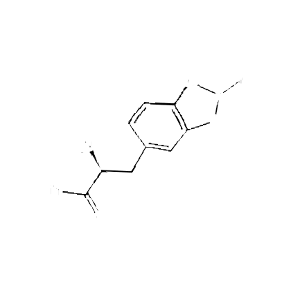 CC(C)B1Oc2ccc(C[C@H](N)C(=O)C(C)C)cc2O1